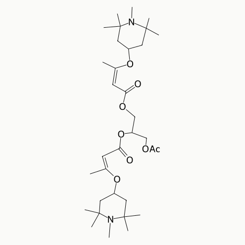 CC(=O)OCC(COC(=O)/C=C(/C)OC1CC(C)(C)N(C)C(C)(C)C1)OC(=O)/C=C(/C)OC1CC(C)(C)N(C)C(C)(C)C1